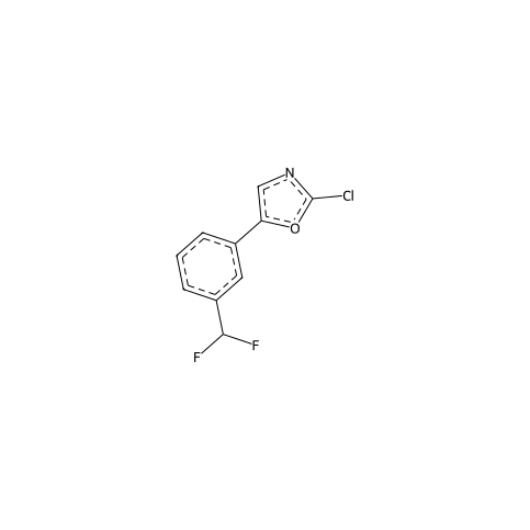 FC(F)c1cccc(-c2cnc(Cl)o2)c1